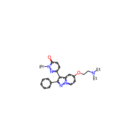 CCN(CC)CCOc1ccn2nc(-c3ccccc3)c(-c3ccc(=O)n(C(C)C)n3)c2c1